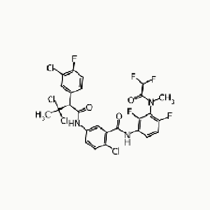 CN(C(=O)C(F)F)c1c(F)ccc(NC(=O)c2cc(NC(=O)[C@H](c3ccc(F)c(Cl)c3)C(C)(Cl)Cl)ccc2Cl)c1F